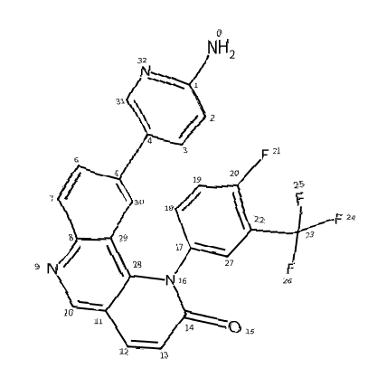 Nc1ccc(-c2ccc3ncc4ccc(=O)n(-c5ccc(F)c(C(F)(F)F)c5)c4c3c2)cn1